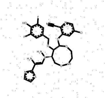 N#Cc1ncc(Cl)cc1SC1OCCNOC[C@@H](N(N)/C=C(\N)c2nccs2)C1OCc1cc(F)c(O)c(F)c1